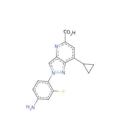 Nc1ccc(-n2cc3nc(C(=O)O)cc(C4CC4)c3n2)c(F)c1